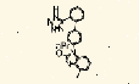 CCCOc1nc2c(C)cccc2n1-c1ccc(-c2ccccc2-c2nnn[nH]2)cc1